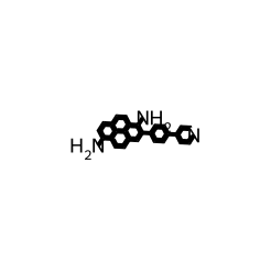 Nc1ccc2ccc3c(N)c(-c4ccc(-c5ccncc5)cc4)cc4ccc1c2c43